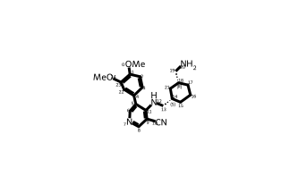 COc1ccc(-c2cncc(C#N)c2NC[C@H]2CCC[C@@H](CN)C2)cc1OC